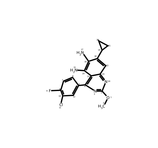 COc1nc(-c2ccc(F)c(Cl)c2)c2c(N)c(N)c(C3CC3)cc2n1